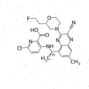 Cc1cc([C@@H](C)Nc2ccc(Cl)nc2C(=O)O)c2nc(N3CCOC(CCF)C3)c(C#N)nc2c1